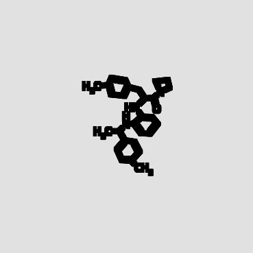 Cc1ccc(CC(Nc2ccccc2NC(C)c2ccc(C)cc2)C(=O)N2CCC2)cc1